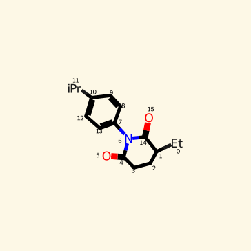 CCC1CCC(=O)N(c2ccc(C(C)C)cc2)C1=O